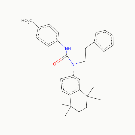 CC1(C)CCC(C)(C)c2cc(N(CCc3ccccc3)C(=O)Nc3ccc(C(=O)O)cc3)ccc21